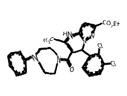 CCOC(=O)c1cc2n(n1)C(c1cccc(Cl)c1Cl)C(C(=O)N1CCN(c3ccccc3)CC1)=C(C)N2